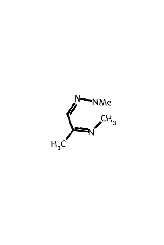 C/N=C(C)\C=N/NC